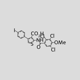 COc1c(Cl)cc(C(=O)Nc2scc(-c3ccc(I)cc3)c2C(=O)O)c(Cl)c1Cl